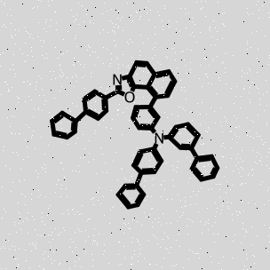 c1ccc(-c2ccc(-c3nc4ccc5cccc(-c6cccc(N(c7ccc(-c8ccccc8)cc7)c7cccc(-c8ccccc8)c7)c6)c5c4o3)cc2)cc1